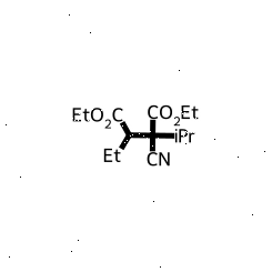 CCOC(=O)C(CC)C(C#N)(C(=O)OCC)C(C)C